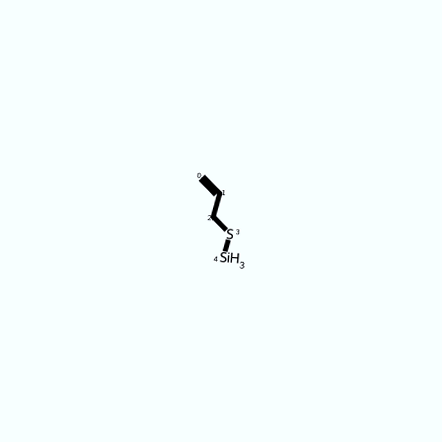 C=C[CH]S[SiH3]